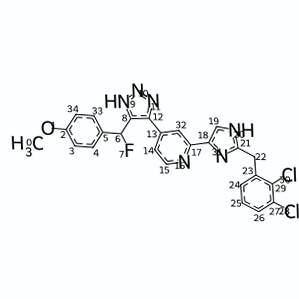 COc1ccc(C(F)c2[nH]nnc2-c2ccnc(-c3c[nH]c(Cc4cccc(Cl)c4Cl)n3)c2)cc1